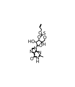 C=CCOP1(=S)OC[C@H]2O[C@@H](n3cnc4c(=O)[nH]c(C)nc43)C(O)C2O1